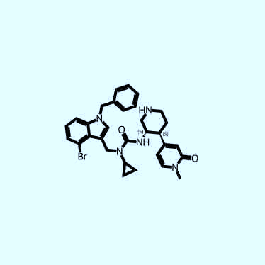 Cn1ccc([C@@H]2CCNC[C@H]2NC(=O)N(Cc2cn(Cc3ccccc3)c3cccc(Br)c23)C2CC2)cc1=O